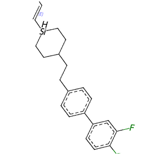 C/C=C/[SiH]1CCC(CCc2ccc(-c3ccc(F)c(F)c3)cc2)CC1